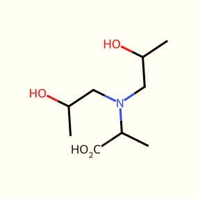 CC(O)CN(CC(C)O)C(C)C(=O)O